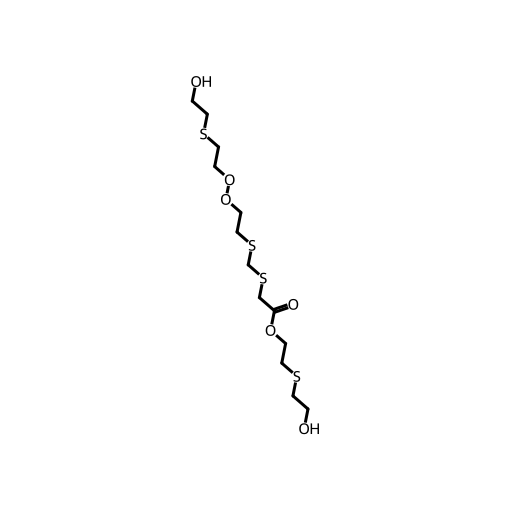 O=C(CSCSCCOOCCSCCO)OCCSCCO